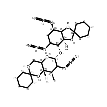 C[C@@H]1C(N=[N+]=[N-])[C@@H](O[C@@H]2C(N=[N+]=[N-])C[C@@H](N=[N+]=[N-])C3OC4(CCCCC4)O[C@H]32)OC2COC3(CCCCC3)O[C@H]21